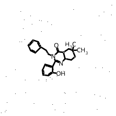 CC1(C)CCC2N=C(c3ccccc3O)N(CCc3ccccc3)C(=O)C2C1